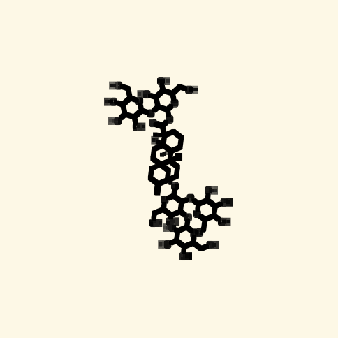 C=C1CC[C@@]23CC[C@H]4[C@@](C)(CCC[C@@]4(C)C(=O)OC4OC(CO)C(O)C(O)C4OC4OC(CO)C(O)C(O)C4O)[C@@H]2CC[C@]1(OC1OC(CO)C(O)C(OC2OC(CO)C(O)C(O)C2O)C1OC1OC(CO)C(O)C(O)C1O)C3